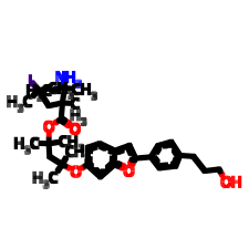 CC(C)(I)CC(C)(C(=O)OC(C)(C)CC(C)(C)Oc1ccc2cc(-c3ccc(CCCO)cc3)oc2c1)C(C)(C)N